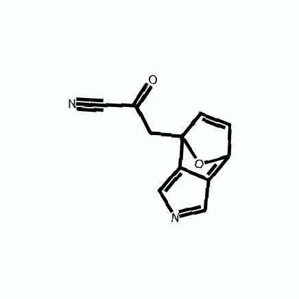 N#CC(=O)CC12C=CC(=C3C=NC=C31)O2